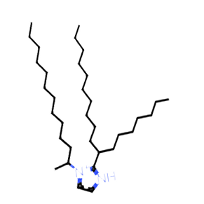 CCCCCCCCCCCC(C)[n+]1cc[nH]c1C(CCCCCCC)CCCCCCCCCC